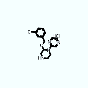 Cl.Clc1cccc(COC2CNCCN2c2cnccn2)c1